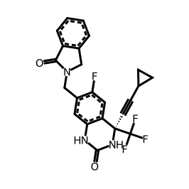 O=C1Nc2cc(CN3Cc4ccccc4C3=O)c(F)cc2[C@@](C#CC2CC2)(C(F)(F)F)N1